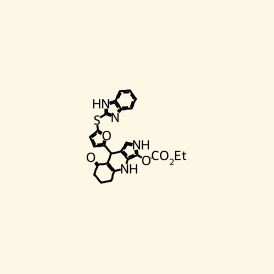 CCOC(=O)Oc1[nH]cc2c1NC1=C(C(=O)CCC1)C2c1ccc(Sc2nc3ccccc3[nH]2)o1